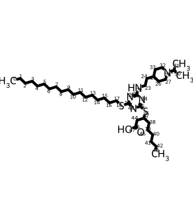 CCCCCCCCCCCCCCCCCCSc1nc(NCCC2CCN(C(C)C)CC2)nc(SC(CCCCCC)CC(=O)O)n1